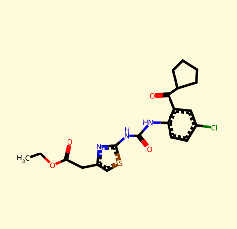 CCOC(=O)Cc1csc(NC(=O)Nc2ccc(Cl)cc2C(=O)C2CCCC2)n1